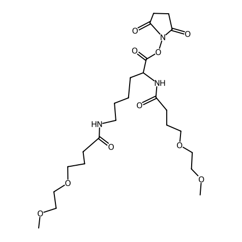 COCCOCCCC(=O)NCCCCC(NC(=O)CCCOCCOC)C(=O)ON1C(=O)CCC1=O